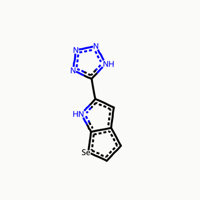 c1cc2cc(-c3nnn[nH]3)[nH]c2[se]1